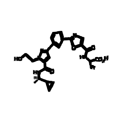 CC(C)C(NC(=O)c1cnc(-c2cccc(-c3cc(C(=O)N[C@@H](C)C4CC4)n(CCO)n3)c2)o1)C(=O)O